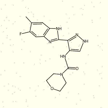 Cc1cc2[nH]c(-c3n[nH]cc3NC(=O)N3CCOCC3)nc2cc1F